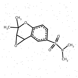 CN(C)S(=O)(=O)c1ccc2c(c1)C1OC1C(C)(C)O2